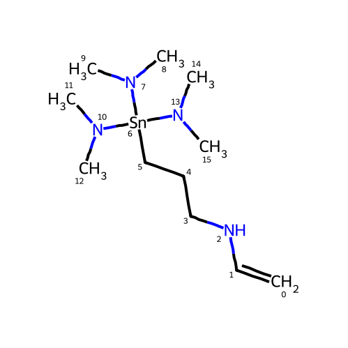 C=CNCC[CH2][Sn]([N](C)C)([N](C)C)[N](C)C